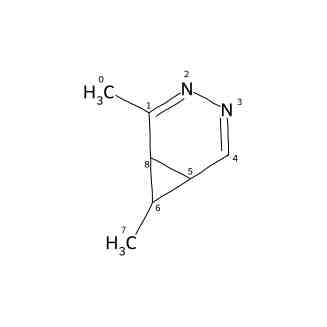 CC1=NN=CC2C(C)C12